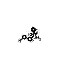 CC(Nc1c(Cl)cnc2ccccc12)c1cc(-c2cccc(C#N)c2)ccc1F